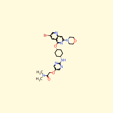 CN(C)C(=O)COc1cnc(N[C@H]2CC[C@@H](Oc3nc(N4CCOCC4)cc4ncc(Br)cc34)CC2)nc1